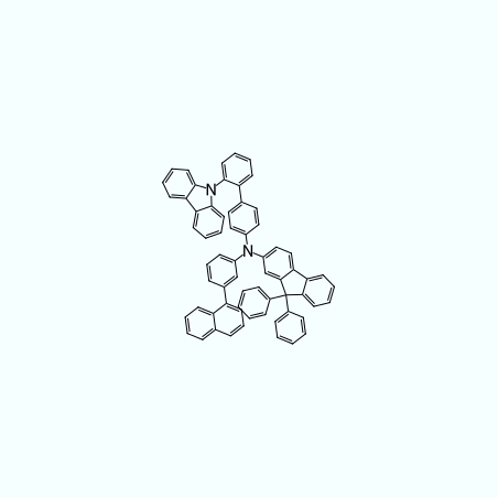 c1ccc(C2(c3ccccc3)c3ccccc3-c3ccc(N(c4ccc(-c5ccccc5-n5c6ccccc6c6ccccc65)cc4)c4cccc(-c5cccc6ccccc56)c4)cc32)cc1